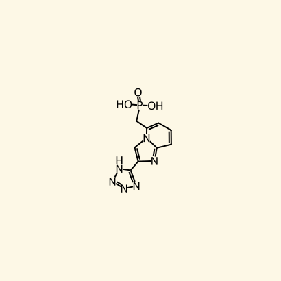 O=P(O)(O)Cc1cccc2nc(-c3nnn[nH]3)cn12